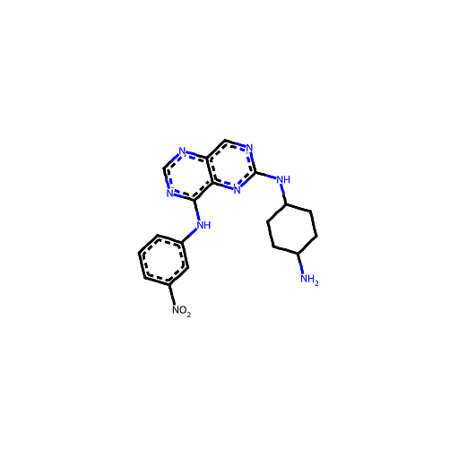 NC1CCC(Nc2ncc3ncnc(Nc4cccc([N+](=O)[O-])c4)c3n2)CC1